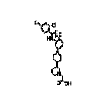 C[C@@H](Nc1cc(N2CCC(C3CCCN(CC(=O)O)C3)CC2)ccc1Cl)c1ccc(Cl)cc1Cl